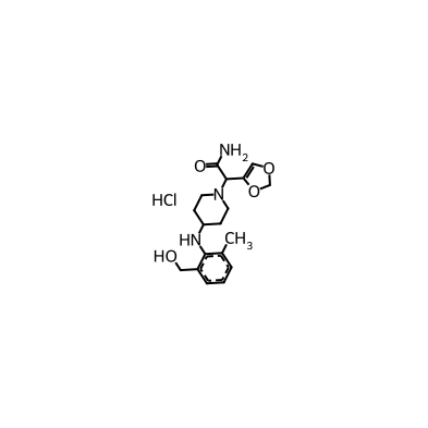 Cc1cccc(CO)c1NC1CCN(C(C(N)=O)C2=COCO2)CC1.Cl